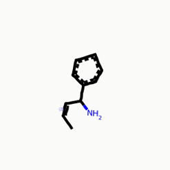 C/C=C\C(N)c1ccccc1